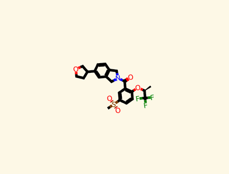 C[C@H](Oc1ccc(S(C)(=O)=O)cc1C(=O)N1Cc2ccc(C3CCOC3)cc2C1)C(F)(F)F